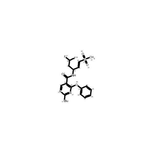 CC(C)(C)c1ncc(C(=O)NC(C=CS(C)(=O)=O)CC(F)F)c(Oc2ccccc2)n1